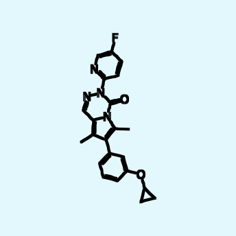 Cc1c(-c2cccc(OC3CC3)c2)c(C)n2c(=O)n(-c3ccc(F)cn3)ncc12